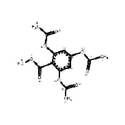 [CH2]OC(=O)c1c(OC(C)=O)cc(OC(C)=O)cc1OC(C)=O